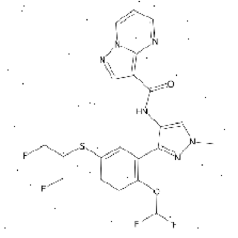 Cn1cc(NC(=O)c2cnn3cccnc23)c(C2=C(OC(F)F)CCC(SC(CF)CF)=C2)n1